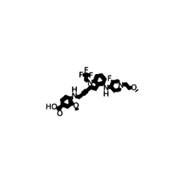 COCCN1CCC(Nc2cccc3c2cc(C#CCNc2ccc(C(=O)O)cc2OC)n3CC(F)(F)F)[C@H](F)C1